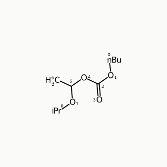 CCCCOC(=O)OC(C)OC(C)C